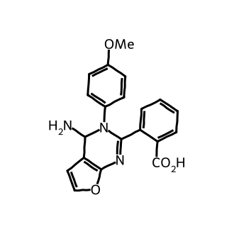 COc1ccc(N2C(c3ccccc3C(=O)O)=Nc3occc3C2N)cc1